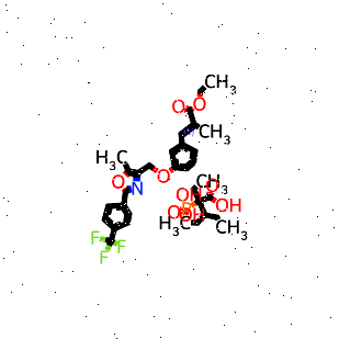 CCC(CC)C(CC)(C(=O)O)P(=O)(O)O.CCOC(=O)/C(C)=C/c1cccc(OCc2nc(-c3ccc(C(F)(F)F)cc3)oc2C)c1